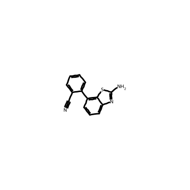 N#Cc1ccccc1-c1cccc2nc(N)sc12